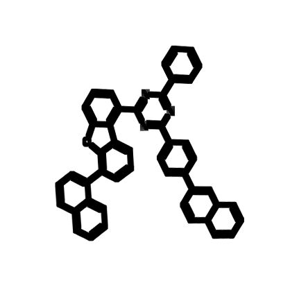 C1=CC2C=CC(c3ccc(-c4nc(-c5ccccc5)nc(-c5cccc6oc7c(-c8cccc9ccccc89)cccc7c56)n4)cc3)=CC2C=C1